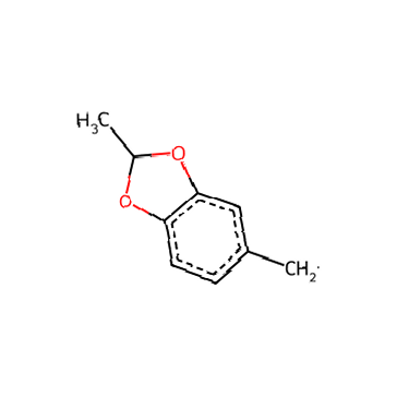 [CH2]c1ccc2c(c1)OC(C)O2